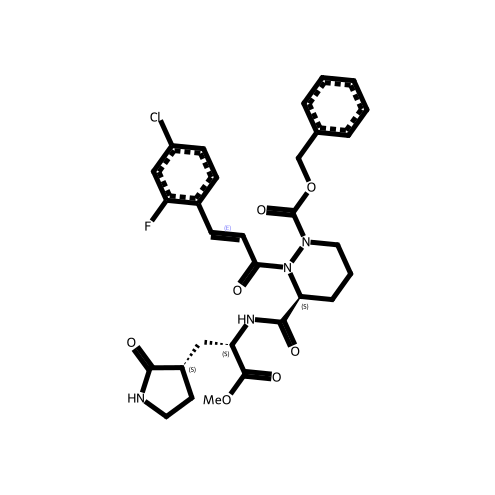 COC(=O)[C@H](C[C@@H]1CCNC1=O)NC(=O)[C@@H]1CCCN(C(=O)OCc2ccccc2)N1C(=O)/C=C/c1ccc(Cl)cc1F